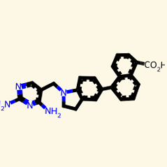 Nc1ncc(CN2CCc3cc(-c4cccc5c(C(=O)O)cccc45)ccc32)c(N)n1